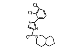 O=C(c1csc(-c2cccc(Cl)c2Cl)n1)N1CCC2CCCCC2C1